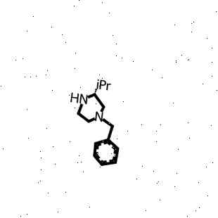 CC(C)[C@@H]1CN(Cc2ccccc2)CCN1